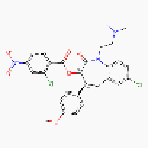 COc1ccc([C@@H]2Cc3cc(Cl)ccc3N(CCN(C)C)C(=O)[C@@H]2OC(=O)c2ccc([N+](=O)[O-])cc2Cl)cc1